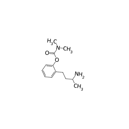 CC(N)CCc1ccccc1OC(=O)N(C)C